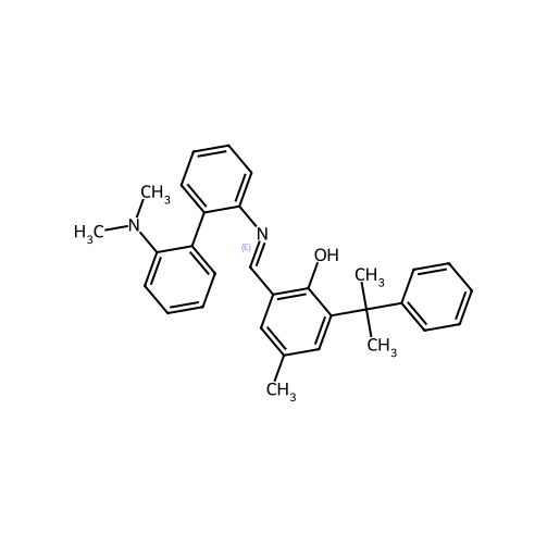 Cc1cc(/C=N/c2ccccc2-c2ccccc2N(C)C)c(O)c(C(C)(C)c2ccccc2)c1